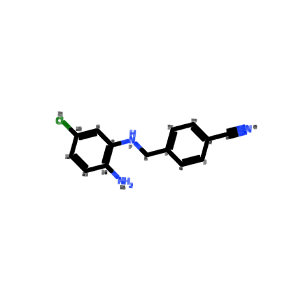 N#Cc1ccc(CNc2cc(Cl)ccc2N)cc1